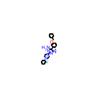 CN(C)c1nc(N2CCN(c3ccccc3F)CC2)nc(N)c1-c1cccc(OCc2ccccc2)c1